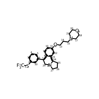 FC(F)(F)Sc1cccc(C2=c3ccc(OCCCN4CCOCC4)cc3=C3CCCN3C2)c1